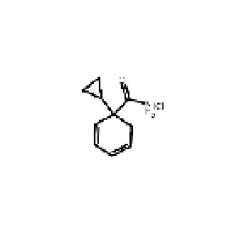 Cl.NC(=O)C1(C2CC2)C=CC=CC1